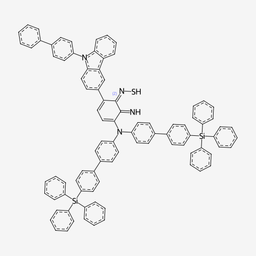 N=C1C(N(c2ccc(-c3ccc([Si](c4ccccc4)(c4ccccc4)c4ccccc4)cc3)cc2)c2ccc(-c3ccc([Si](c4ccccc4)(c4ccccc4)c4ccccc4)cc3)cc2)=CC=C(c2ccc3c(c2)c2ccccc2n3-c2ccc(-c3ccccc3)cc2)/C1=N/S